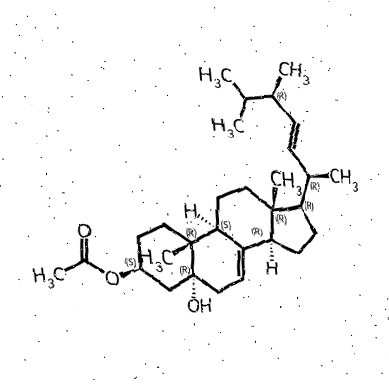 CC(=O)O[C@H]1CC[C@]2(C)[C@H]3CC[C@]4(C)[C@@H]([C@H](C)C=C[C@H](C)C(C)C)CC[C@H]4C3=CC[C@@]2(O)C1